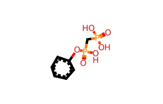 O=P(O)(O)CP(=O)(O)Oc1ccccc1